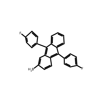 Bc1ccc2c(-c3ccc(F)cc3)c3ccccc3c(-c3ccc(F)cc3)c2c1